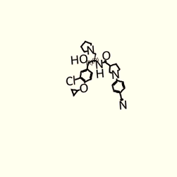 N#Cc1ccc(N2CCC(C(=O)N[C@H](CN3CCCC3)[C@H](O)c3ccc(OC4CC4)c(Cl)c3)C2)cc1